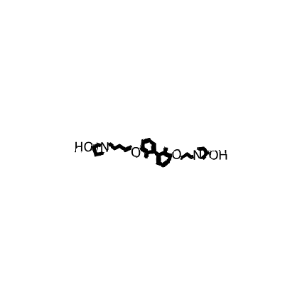 Cc1c(OCCCCCN2CC[C@@H](O)C2)cccc1-c1cccc(OCCCN2CC[C@@H](O)C2)c1C